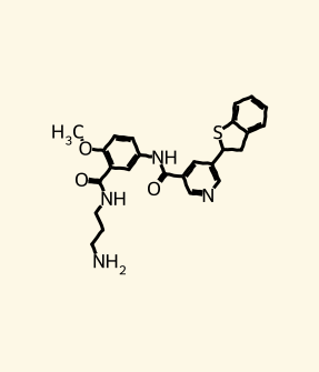 COc1ccc(NC(=O)c2cncc(C3Cc4ccccc4S3)c2)cc1C(=O)NCCCN